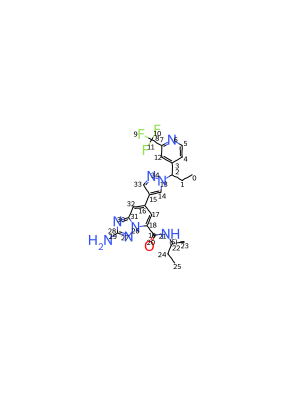 CCC(c1ccnc(C(F)(F)F)c1)n1cc(-c2cc(C(=O)N[C@@H](C)CC)n3nc(N)nc3c2)cn1